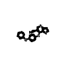 N#Cc1cnc2ccsc2c1Nc1ccc(Oc2ccccc2)cc1